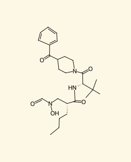 CCCC[C@H](CN(O)C=O)C(=O)N[C@H](C(=O)N1CCC(C(=O)c2ccccc2)CC1)C(C)(C)C